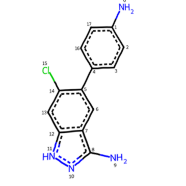 Nc1ccc(-c2cc3c(N)n[nH]c3cc2Cl)cc1